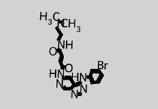 CN(C)CCCNC(=O)C=CC(=O)Nc1cc2c(Nc3cccc(Br)c3)ncnc2cn1